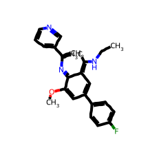 C=C(/N=C1/C(OC)=CC(c2ccc(F)cc2)=C/C1=C(/C)NCC)c1cccnc1